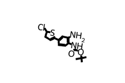 CC(C)(C)OC(=O)Nc1ccc(C2=CCC(Cl)S2)cc1N